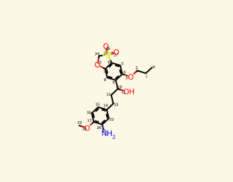 CCCOc1cc2c(cc1C(O)CCc1ccc(OC)c(N)c1)OCS2(=O)=O